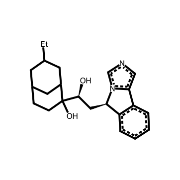 CCC1CC2CCC(O)([C@@H](O)C[C@@H]3c4ccccc4-c4cncn43)C(C1)C2